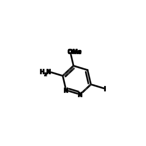 COc1cc(I)nnc1N